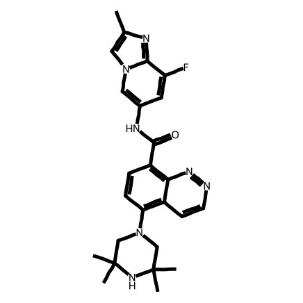 Cc1cn2cc(NC(=O)c3ccc(N4CC(C)(C)NC(C)(C)C4)c4ccnnc34)cc(F)c2n1